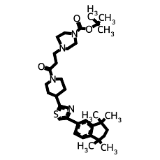 CC(C)(C)OC(=O)N1CCN(CCC(=O)N2CCC(c3nc(-c4ccc5c(c4)C(C)(C)CCC5(C)C)cs3)CC2)CC1